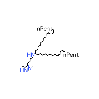 CCCCC/C=C\C/C=C\CCCCCCCCC(CCCCCCCC/C=C\C/C=C\CCCCC)NCCCCC1C(C)NCN1C